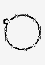 C1=CN=CC=NC=CN=Cc2cccn2C=CN=CC=NC=CN=CC=NC=CN=CC=NC=CN=C1